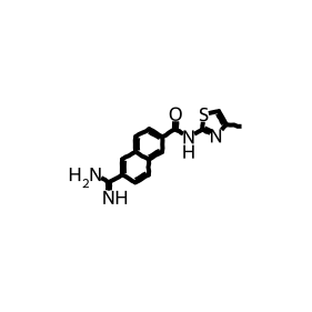 Cc1csc(NC(=O)c2ccc3cc(C(=N)N)ccc3c2)n1